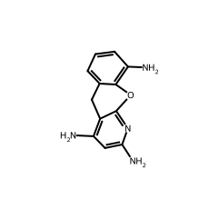 Nc1cc(N)c2c(n1)Oc1c(N)cccc1C2